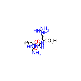 CC(C)C[C@H](NC(=O)CN)C(=O)N[C@@H](C)C(=O)N[C@@H](CCCNC(=N)N)C(=O)O